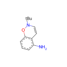 CC(C)(C)N1C=Cc2c(N)cccc2O1